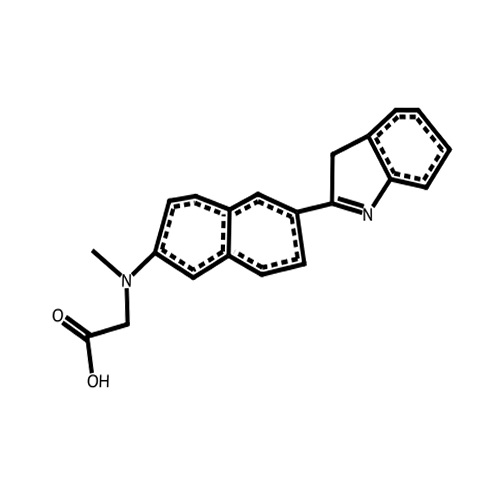 CN(CC(=O)O)c1ccc2cc(C3=Nc4ccccc4C3)ccc2c1